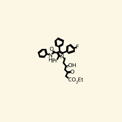 CCOC(=O)CC(=O)C[C@H](O)CCn1c(-c2ccc(F)cc2)c(-c2ccccc2)c(C(=O)Nc2ccccc2)c1C(C)C